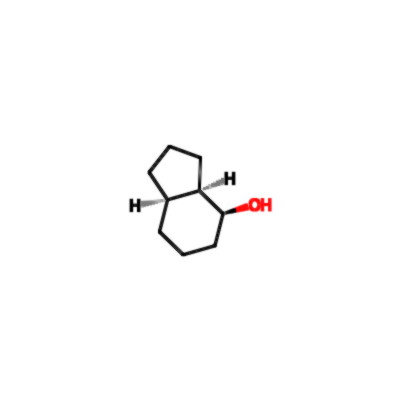 O[C@H]1CCC[C@H]2CCC[C@H]21